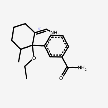 CCOC1(c2cccc(C(N)=O)c2)/C(=C\N)CCCC1C